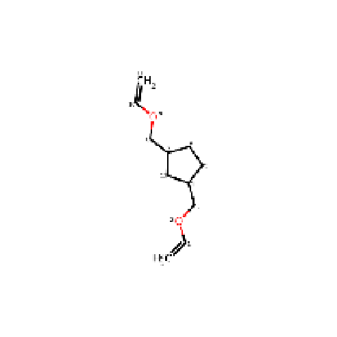 C=COCC1CCC(COC=C)C1